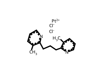 Cc1cccnc1CCCc1ncccc1C.[Cl-].[Cl-].[Pt+2]